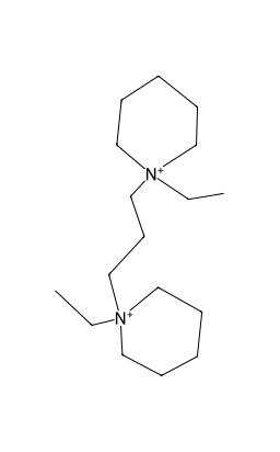 CC[N+]1(CCC[N+]2(CC)CCCCC2)CCCCC1